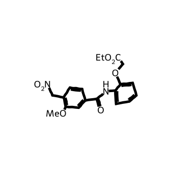 CCOC(=O)COc1ccccc1NC(=O)c1ccc(C[N+](=O)[O-])c(OC)c1